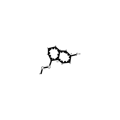 COOc1cccc2cc(F)ccc12